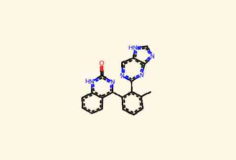 Cc1cccc(-c2nc(=O)[nH]c3ccccc23)c1-c1ncc2[nH]cnc2n1